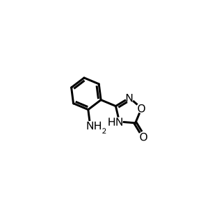 Nc1ccccc1-c1noc(=O)[nH]1